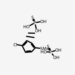 CC.CC.CSc1ccc(Cl)cc1.OP(O)(O)=S.OP(O)(O)=S